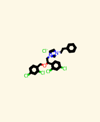 Clc1ccc(COC(Cn2cc[n+](CCc3ccccc3)c2)c2ccc(Cl)cc2Cl)c(Cl)c1.[Cl-]